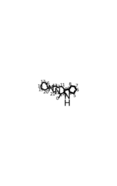 CC1c2[nH]c3ccccc3c2CC2CN(C3CCCCC3)CN21